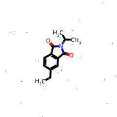 CCc1ccc2c(c1)C(=O)N(C(C)C)C2=O